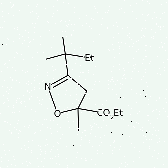 CCOC(=O)C1(C)CC(C(C)(C)CC)=NO1